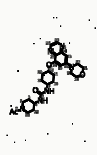 CC(=O)N1CCC(NC(=O)N[C@H]2CC[C@@H](Oc3cc(N4CCOCC4)cc4nccnc34)CC2)CC1